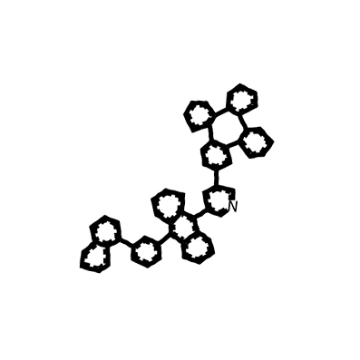 c1cc(-c2cccc3ccccc23)cc(-c2c3ccccc3c(-c3cncc(-c4ccc5c(c4)-c4ccccc4-c4ccccc4-c4ccccc4-5)c3)c3ccccc23)c1